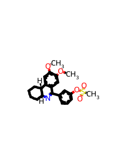 COc1cc2c(cc1OC)[C@H]1CCCC[C@H]1N=C2c1cccc(OS(C)(=O)=O)c1